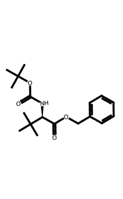 CC(C)(C)OC(=O)N[C@@H](C(=O)OCc1ccccc1)C(C)(C)C